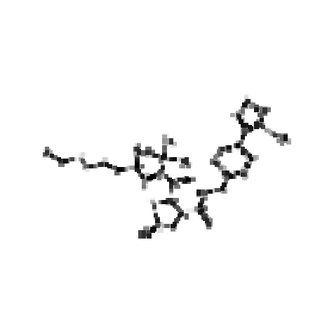 Cc1ncsc1-c1ccc(CNC(=O)[C@@H]2C[C@@H](O)CN2C(=O)[C@@H](NC(=O)CCCCCCl)C(C)(C)C)cc1